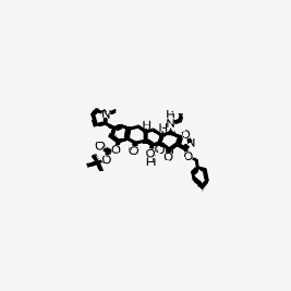 CCN[C@@H]1c2onc(OCc3ccccc3)c2C(=O)[C@@]2(O)C(O)=C3C(=O)c4c(cc(C5CCCN5C)cc4OC(=O)OC(C)(C)C)C[C@H]3C[C@@H]12